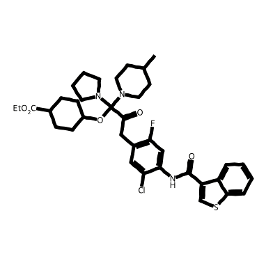 CCOC(=O)C1CCC(OC(C(=O)Cc2cc(Cl)c(NC(=O)c3csc4ccccc34)cc2F)(N2CCCC2)N2CCC(C)CC2)CC1